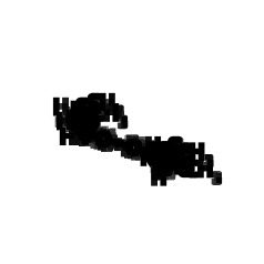 COC(=O)N[C@H](C(=O)N1[C@@H]2C[C@@H]2C[C@H]1c1nc(-c2ccc(C#Cc3ccc(-c4c[nH]c([C@@H]5C[C@H]6C[C@H]6N5C(=O)[C@@H](C)C(C)C)n4)cc3)cc2)c[nH]1)C(C)C